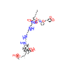 CCCCCCCC(C(=O)NCCCNCCCCNCCCN[C@H]1CC[C@@]2(C)[C@H](C1)C[C@@H](O)[C@@H]1[C@@H]2CC[C@]2(C)[C@@H]([C@H](C)CC[C@@H](OS(=O)(=O)O)C(C)C)CC[C@@H]12)C(=O)O[C@@H]1CCN([C@@H]2CCCC[C@H]2OCCc2ccc(OC)c(OC)c2)C1